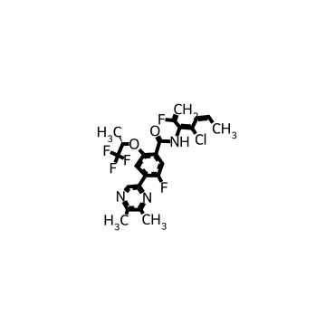 C=C(F)/C(NC(=O)c1cc(F)c(-c2cnc(C)c(C)n2)cc1O[C@@H](C)C(F)(F)F)=C(Cl)\C=C/C